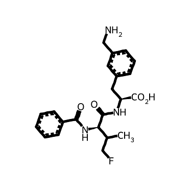 CC(CF)[C@@H](NC(=O)c1ccccc1)C(=O)N[C@@H](Cc1cccc(CN)c1)C(=O)O